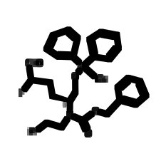 CC(C)CCN(C(=O)OCc1ccccc1)[C@@H](CCC(F)C=O)CO[Si](c1ccccc1)(c1ccccc1)C(C)(C)C